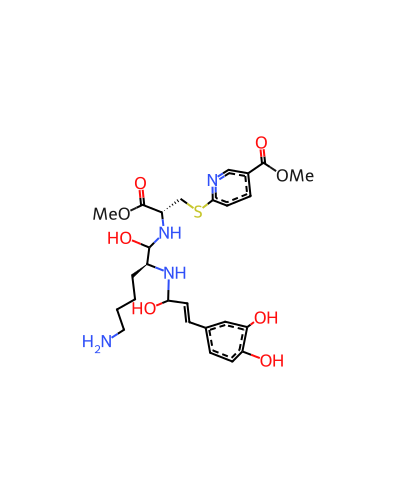 COC(=O)c1ccc(SC[C@H](NC(O)[C@H](CCCCN)NC(O)/C=C/c2ccc(O)c(O)c2)C(=O)OC)nc1